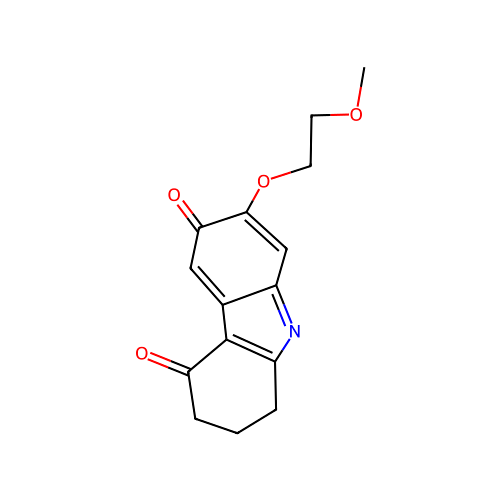 COCCOC1=CC2=NC3=C(C(=O)CCC3)C2=CC1=O